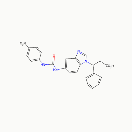 O=C(O)CC(c1ccccc1)n1cnc2cc(NC(=O)Nc3ccc([N+](=O)[O-])cc3)ccc21